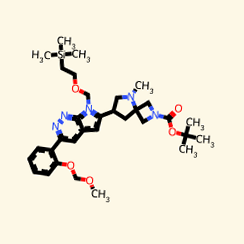 COCOc1ccccc1-c1cc2cc(C3CN(C)C4(C3)CN(C(=O)OC(C)(C)C)C4)n(COCC[Si](C)(C)C)c2nn1